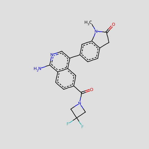 CN1C(=O)Cc2ccc(-c3cnc(N)c4ccc(C(=O)N5CC(F)(F)C5)cc34)cc21